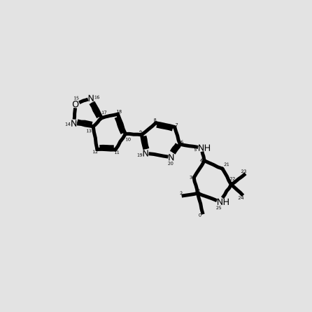 CC1(C)CC(Nc2ccc(-c3ccc4nonc4c3)nn2)CC(C)(C)N1